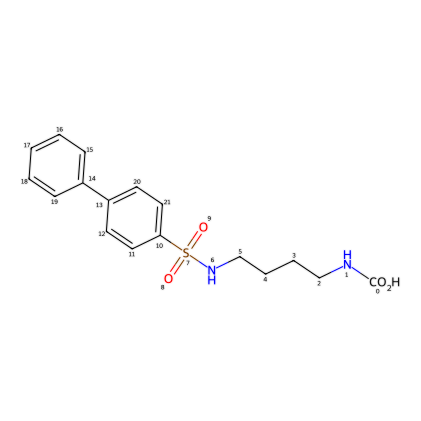 O=C(O)NCCCCNS(=O)(=O)c1ccc(-c2ccccc2)cc1